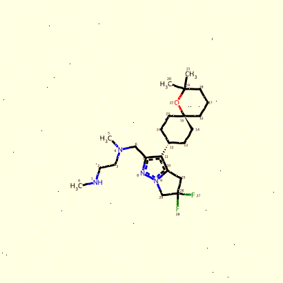 CNCCN(C)Cc1nn2c(c1[C@H]1CC[C@@]3(CCCC(C)(C)O3)CC1)CC(F)(F)C2